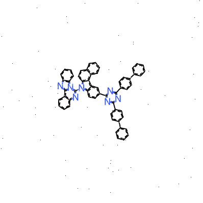 c1ccc(-c2ccc(-c3nc(-c4ccc(-c5ccccc5)cc4)nc(-c4ccc5c(c4)c4c6ccccc6ccc4n5-c4nc5ccccc5c5nc6ccccc6n45)n3)cc2)cc1